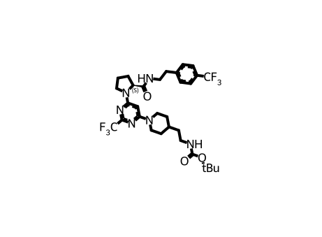 CC(C)(C)OC(=O)NCCC1CCN(c2cc(N3CCC[C@H]3C(=O)NCCc3ccc(C(F)(F)F)cc3)nc(C(F)(F)F)n2)CC1